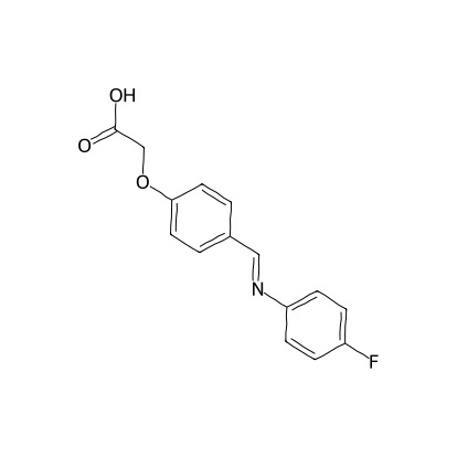 O=C(O)COc1ccc(C=Nc2ccc(F)cc2)cc1